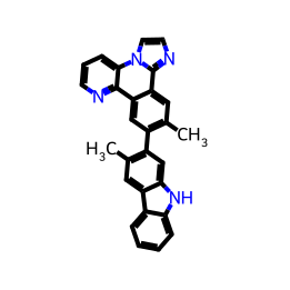 Cc1cc2c(cc1-c1cc3c(cc1C)c1nccn1c1cccnc31)[nH]c1ccccc12